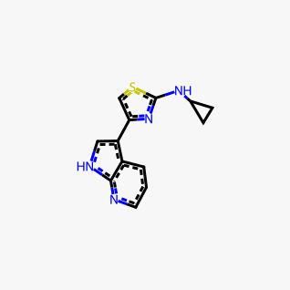 c1cnc2[nH]cc(-c3csc(NC4CC4)n3)c2c1